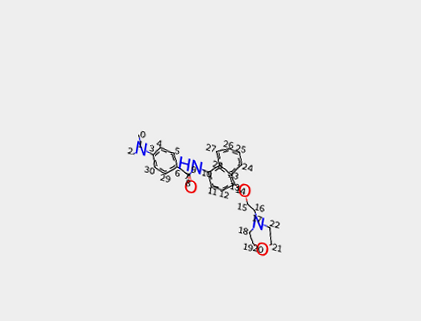 CN(C)c1ccc(C(=O)Nc2ccc(OCCN3CCOCC3)c3ccccc23)cc1